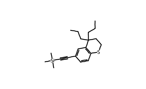 CCCC1(CCC)CCSc2ccc(C#C[Si](C)(C)C)cc21